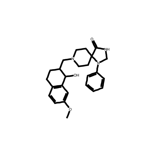 COc1ccc2c(c1)C(O)C(CN1CCC3(CC1)C(=O)NCN3c1ccccc1)CC2